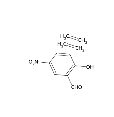 C=C.C=C.O=Cc1cc([N+](=O)[O-])ccc1O